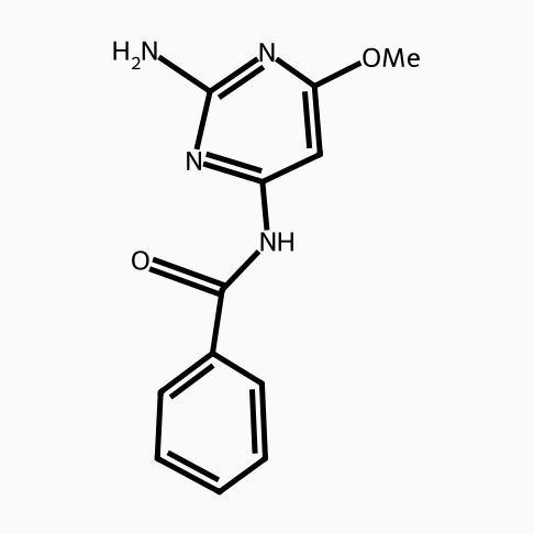 COc1cc(NC(=O)c2ccccc2)nc(N)n1